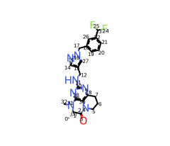 C[C@H]1C(=O)N2CCCc3nc(NCc4cnn(Cc5cccc(C(F)F)c5)c4)nc(c32)N1C